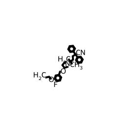 C=CCOc1cc(CO[C@@H]2CCN(C(C)(C)CCC(C#N)(c3ccccc3)c3ccccc3)C2)ccc1F